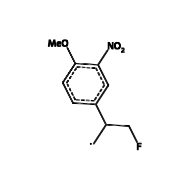 [CH2]C(CF)c1ccc(OC)c([N+](=O)[O-])c1